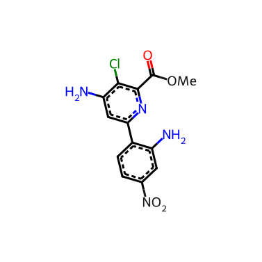 COC(=O)c1nc(-c2ccc([N+](=O)[O-])cc2N)cc(N)c1Cl